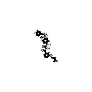 CC(C)CCOc1cccc(C(=O)NC(=S)Nc2ccc(S(=O)(=O)Nc3ccccc3)cc2)c1